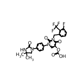 CC1(C)CN(c2ccc(-n3cc(OC(=O)O)c(=O)n(Cc4cccc(F)c4C(F)(F)F)c3=O)cc2)C(=O)N1